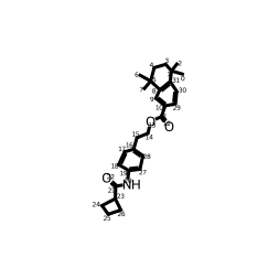 CC1(C)CCC(C)(C)c2cc(C(=O)OCCc3ccc(NC(=O)C4CCC4)cc3)ccc21